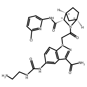 NCCNC(=O)Nc1ccc2c(c1)c(C(N)=O)nn2CC(=O)N1[C@@H]2CC[C@@H](C2)[C@H]1C(=O)Nc1cccc(Cl)n1